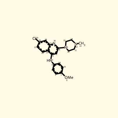 COc1ccc(Nc2cc(N3CCN(C)CC3)nc3cc(Cl)ccc23)cc1